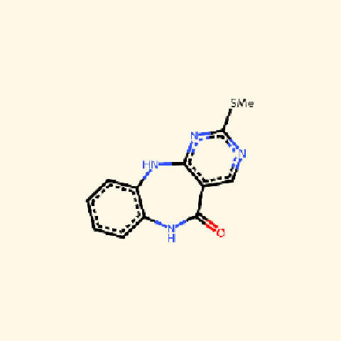 CSc1ncc2c(n1)Nc1ccccc1NC2=O